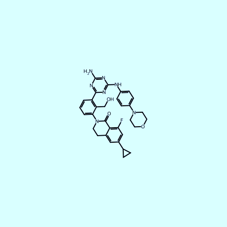 Nc1nc(Nc2ccc(N3CCOCC3)cc2)nc(-c2cccc(N3CCc4cc(C5CC5)cc(F)c4C3=O)c2CO)n1